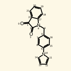 O=C1C(=O)N(Cc2ccc(-n3cccc3)cc2)c2ccccc21